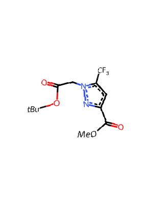 COC(=O)c1cc(C(F)(F)F)n(CC(=O)OC(C)(C)C)n1